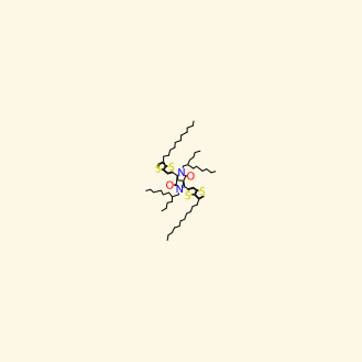 CCCCCCCCCCCc1csc2cc(C3=C4C(=O)N(CC(CCCC)CCCCCC)C(c5cc6scc(CCCCCCCCCCC)c6s5)=C4C(=O)N3CC(CCCC)CCCCCC)sc12